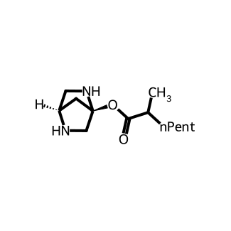 CCCCCC(C)C(=O)O[C@]12CN[C@@H](CN1)C2